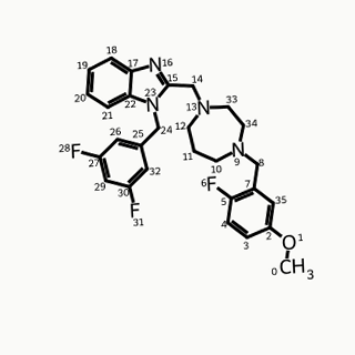 COc1ccc(F)c(CN2CCCN(Cc3nc4ccccc4n3Cc3cc(F)cc(F)c3)CC2)c1